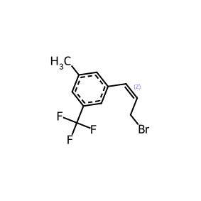 Cc1cc(/C=C\CBr)cc(C(F)(F)F)c1